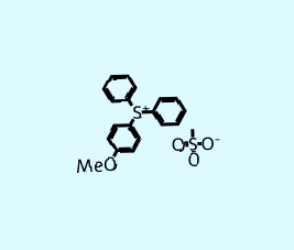 COc1ccc([S+](c2ccccc2)c2ccccc2)cc1.CS(=O)(=O)[O-]